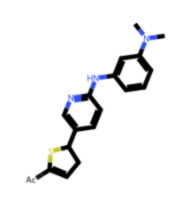 CC(=O)C1=CCC(c2ccc(Nc3cccc(N(C)C)c3)nc2)S1